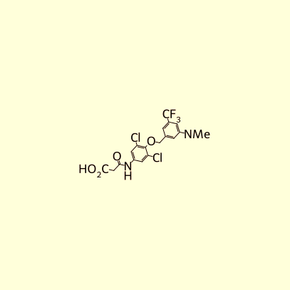 CNc1cc(COc2c(Cl)cc(NC(=O)CC(=O)O)cc2Cl)cc(C(F)(F)F)c1